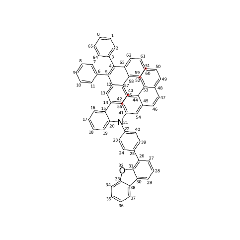 c1ccc(-c2c(-c3ccccc3)c3cc(-c4ccccc4N(c4ccc(-c5cccc6c5oc5ccccc56)cc4)c4ccc5c(ccc6ccccc65)c4)ccc3c3ccccc23)cc1